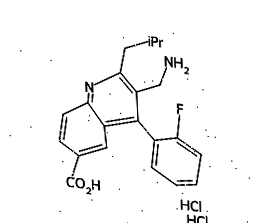 CC(C)Cc1nc2ccc(C(=O)O)cc2c(-c2ccccc2F)c1CN.Cl.Cl